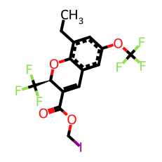 CCc1cc(OC(F)(F)F)cc2c1O[C@H](C(F)(F)F)C(C(=O)OCI)=C2